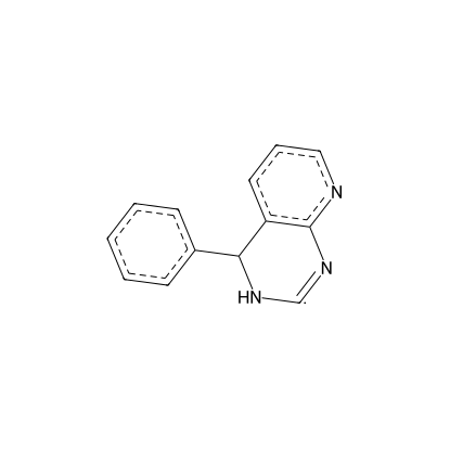 [C]1=Nc2ncccc2C(c2ccccc2)N1